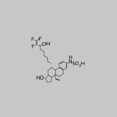 C=CC12CCc3cc(NS(=O)(=O)O)ccc3C1[C@@H](CCCCCC[C@H](O)C(F)=C(F)F)C[C@@]1(C)C2CC[C@@H]1O